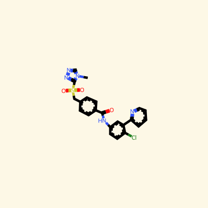 Cn1cnnc1S(=O)(=O)Cc1ccc(C(=O)Nc2ccc(Cl)c(-c3ccccn3)c2)cc1